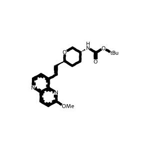 COc1ccc2nccc(C=C[C@@H]3CC[C@@H](NC(=O)OC(C)(C)C)CO3)c2n1